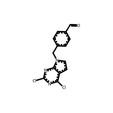 O=Cc1ccc(Cn2ccc3c(Cl)nc(Cl)nc32)cc1